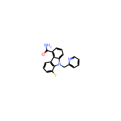 NC(=O)c1cccc2c1c1[c]ccc(F)c1n2Cc1ccccn1